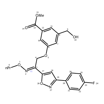 CCCO/N=C(\COc1cc(CO)cc(C(=O)OC)c1)c1cc(-c2ccc(F)cc2)no1